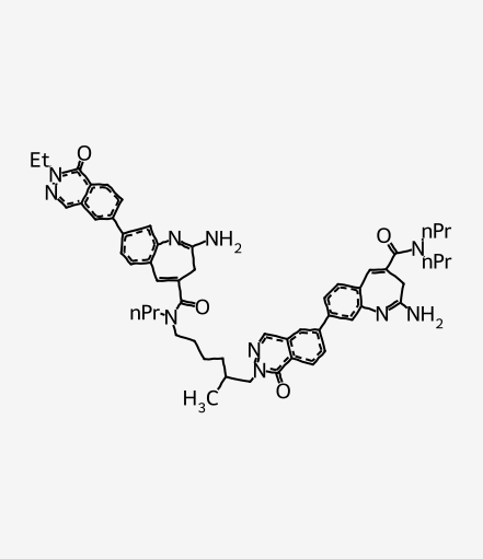 CCCN(CCC)C(=O)C1=Cc2ccc(-c3ccc4c(=O)n(CC(C)CCCCN(CCC)C(=O)C5=Cc6ccc(-c7ccc8c(=O)n(CC)ncc8c7)cc6N=C(N)C5)ncc4c3)cc2N=C(N)C1